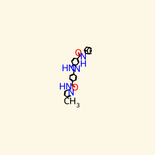 Cc1ccc(NC(=O)c2ccc(-c3nc4cc(C(=O)NC5CC6CCC5CC6)ccc4[nH]3)cc2)nc1